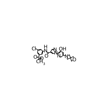 CS(=O)(=O)c1cc(Cl)cc(NC(=O)c2cnn(-c3ncc(N4CC5(COC5)C4)cc3O)c2)c1